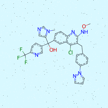 CONc1nc2ccc(C(O)(c3ccc(C(F)(F)F)nc3)c3cncn3C)cc2c(Cl)c1Cc1ccc(-n2cccn2)cc1